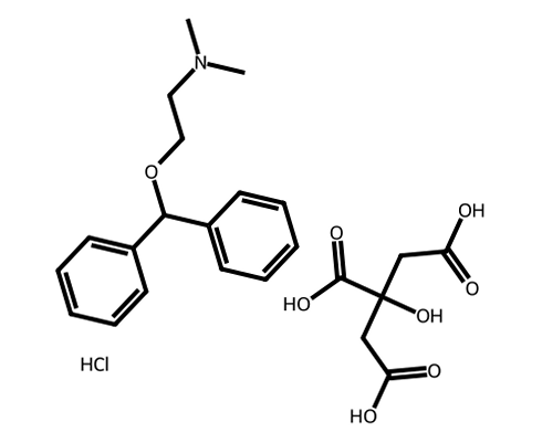 CN(C)CCOC(c1ccccc1)c1ccccc1.Cl.O=C(O)CC(O)(CC(=O)O)C(=O)O